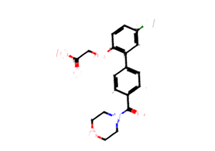 O=C(O)COc1ccc(Cl)cc1-c1ccc(C(=O)N2CCOCC2)cc1